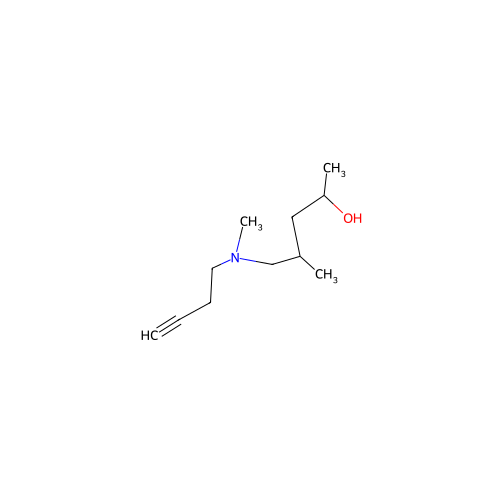 C#CCCN(C)CC(C)CC(C)O